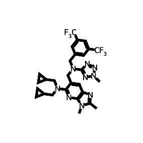 Cc1nc2cc(CN(Cc3cc(C(F)(F)F)cc(C(F)(F)F)c3)c3nnn(C)n3)c(N(CC3CC3)CC3CC3)nc2n1C